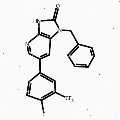 O=c1[nH]c2ncc(-c3ccc(F)c(C(F)(F)F)c3)cc2n1Cc1ccccc1